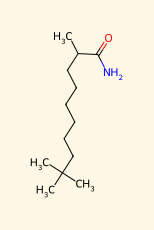 CC(CCCCCCC(C)(C)C)C(N)=O